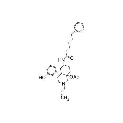 C=CCN1CC[C@@]2(c3cccc(O)c3)C[C@H](NC(=O)CCCCCc3ccccc3)CC[C@]2(OC(C)=O)C1